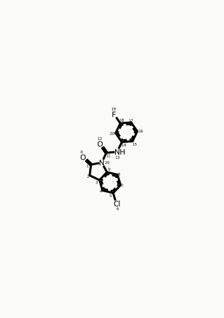 O=C1Cc2cc(Cl)ccc2N1C(=O)Nc1cccc(F)c1